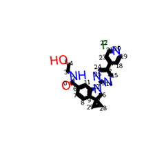 O=C(NCCO)c1ccc2c(c1)N(c1ncc(-c3ccnc(F)c3)cn1)CC21CC1